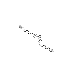 CC/C=C\C/C=C\C/C=C\C/C=C\C/C=C\C/C=C\CCC(=O)OCc1ccccc1OC(=O)CC/C=C\C/C=C\C/C=C\C/C=C\C/C=C\C/C=C\CC